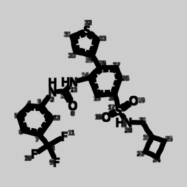 O=C(Nc1cccc(C(F)(F)F)c1)Nc1cc(S(=O)(=O)NCC2CCC2)ccc1-c1ccsc1